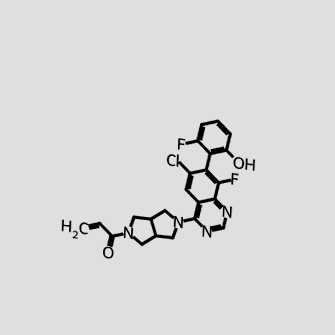 C=CC(=O)N1CC2CN(c3ncnc4c(F)c(-c5c(O)cccc5F)c(Cl)cc34)CC2C1